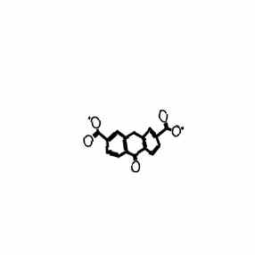 COC(=O)c1ccc2c(c1)Cc1cc(C(=O)OC)ccc1C2=O